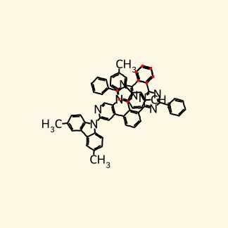 Cc1ccc2c(c1)c1cc(C)ccc1n2-c1cc(-c2cccc(-c3nc(-c4ccccc4)nc(-c4ccccc4)n3)c2-c2nc(-c3ccccc3)nc(-c3ccccc3)n2)c(-n2c3ccc(C)cc3c3cc(C)ccc32)cn1